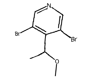 COC(C)c1c(Br)cncc1Br